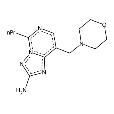 CCCc1ncc(CN2CCOCC2)c2nc(N)nn12